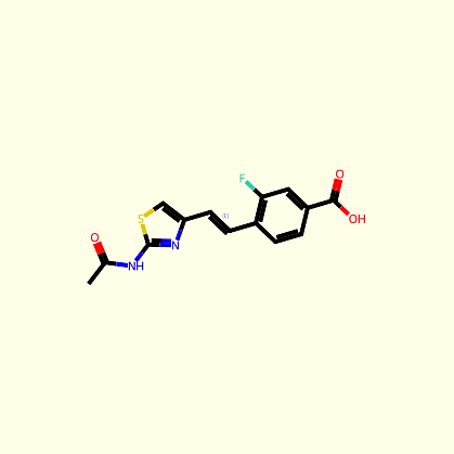 CC(=O)Nc1nc(/C=C/c2ccc(C(=O)O)cc2F)cs1